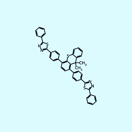 CC1(C)c2ccccc2Sc2c(-c3ccc(-c4nnc(-c5ccccc5)s4)cc3)ccc(-c3ccc(-c4nnc(-c5ccccc5)s4)cc3)c21